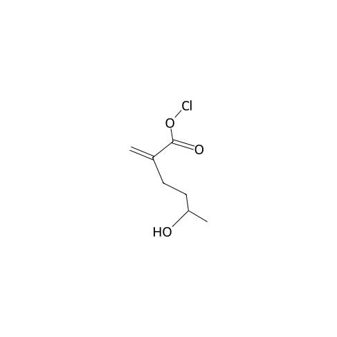 C=C(CCC(C)O)C(=O)OCl